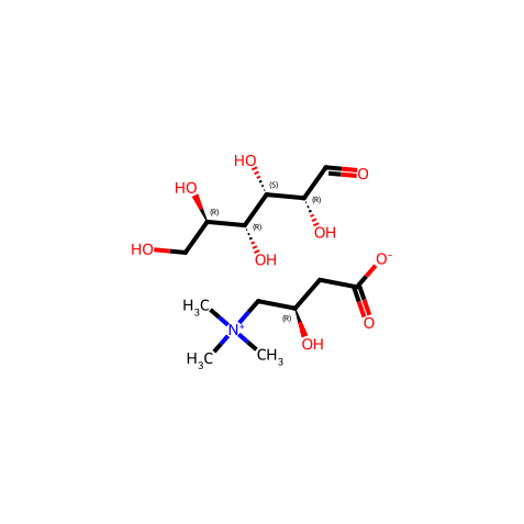 C[N+](C)(C)C[C@H](O)CC(=O)[O-].O=C[C@H](O)[C@@H](O)[C@H](O)[C@H](O)CO